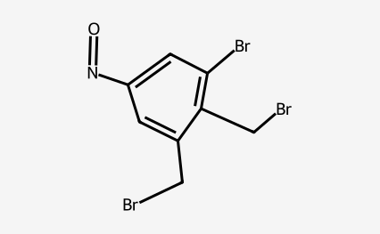 O=Nc1cc(Br)c(CBr)c(CBr)c1